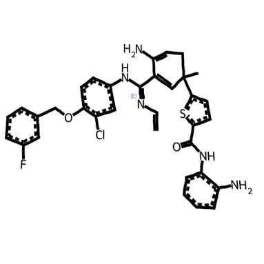 C=C/N=C(/Nc1ccc(OCc2cccc(F)c2)c(Cl)c1)C1=CC(C)(c2ccc(C(=O)Nc3ccccc3N)s2)CC=C1N